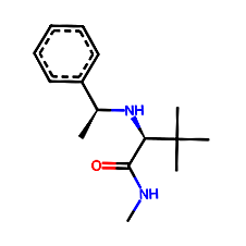 CNC(=O)[C@@H](N[C@@H](C)c1ccccc1)C(C)(C)C